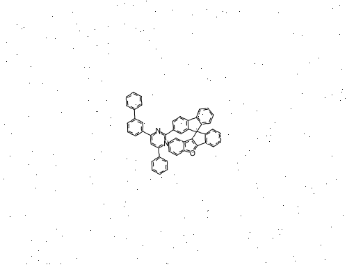 c1ccc(-c2cccc(-c3cc(-c4ccccc4)nc(-c4ccc5c(c4)C4(c6ccccc6-5)c5ccccc5-c5oc6ccccc6c54)n3)c2)cc1